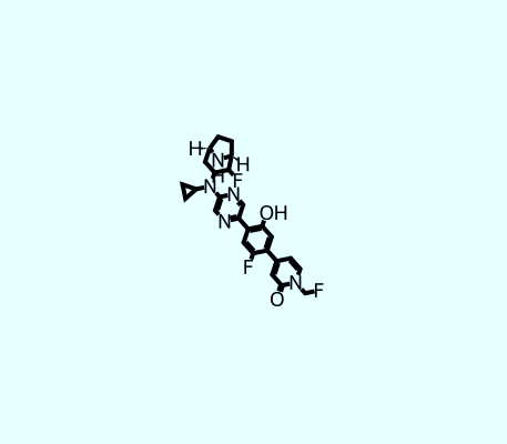 O=c1cc(-c2cc(O)c(-c3cnc(N(C4CC4)C4C[C@H]5CC[C@H](N5)C4F)cn3)cc2F)ccn1CF